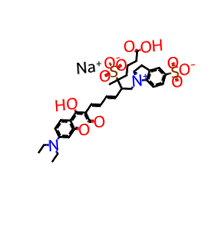 CCN(CC)c1ccc2c(O)c(C=CC=CC(C[N+]3=CCc4cc(S(=O)(=O)[O-])ccc43)C(C)(CCCC(=O)O)S(=O)(=O)[O-])c(=O)oc2c1.[Na+]